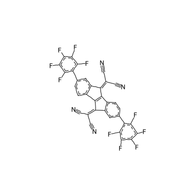 N#CC(C#N)=C1C2=C(C(=C(C#N)C#N)c3cc(-c4c(F)c(F)c(F)c(F)c4F)ccc32)c2ccc(-c3c(F)c(F)c(F)c(F)c3F)cc21